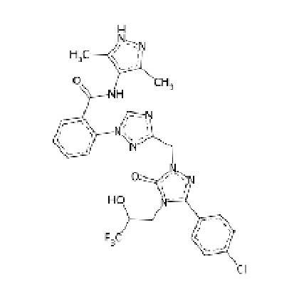 Cc1n[nH]c(C)c1NC(=O)c1ccccc1-n1cnc(Cn2nc(-c3ccc(Cl)cc3)n(CC(O)C(F)(F)F)c2=O)n1